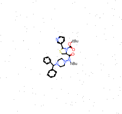 CCCCN(C(=O)C1CSC(c2cccnc2)N1C(=O)OC(C)(C)C)N1CCN(C(c2ccccc2)c2ccccc2)CC1